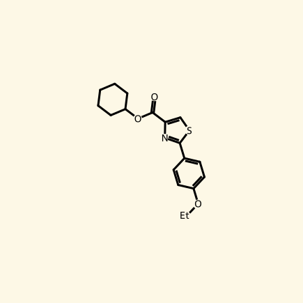 CCOc1ccc(-c2nc(C(=O)OC3CCCCC3)cs2)cc1